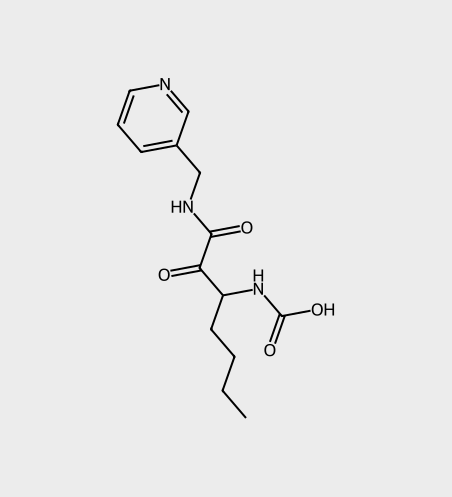 CCCCC(NC(=O)O)C(=O)C(=O)NCc1cccnc1